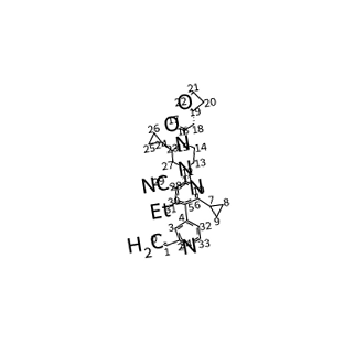 C=Cc1cc(-c2c(C3CC3)nc(N3CCN(C(=O)C[C@H]4CCO4)C(C4CC4)C3)c(C#N)c2CC)ccn1